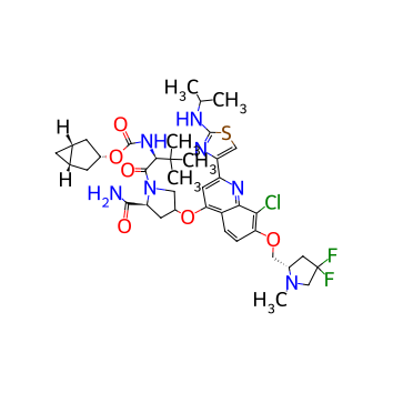 CC(C)Nc1nc(-c2cc(OC3C[C@@H](C(N)=O)N(C(=O)[C@@H](NC(=O)O[C@@H]4C[C@@H]5C[C@@H]5C4)C(C)(C)C)C3)c3ccc(OC[C@@H]4CC(F)(F)CN4C)c(Cl)c3n2)cs1